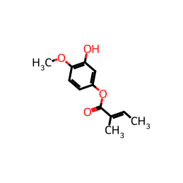 CC=C(C)C(=O)Oc1ccc(OC)c(O)c1